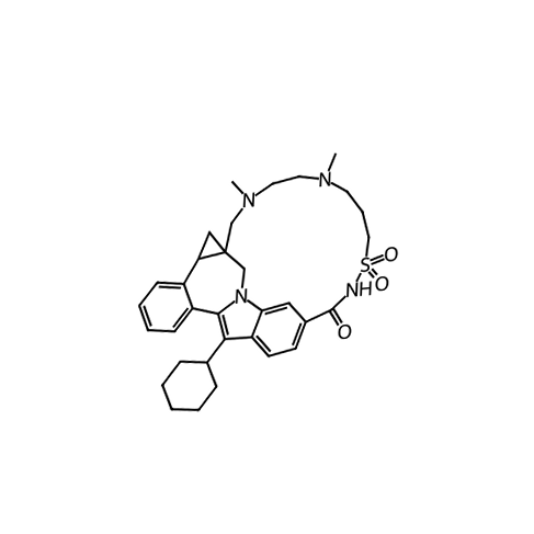 CN1CCCS(=O)(=O)NC(=O)c2ccc3c(C4CCCCC4)c4n(c3c2)CC2(CC2c2ccccc2-4)CN(C)CC1